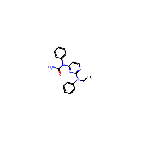 CCN(c1ccccc1)c1nccc(N(C(N)=O)c2ccccc2)n1